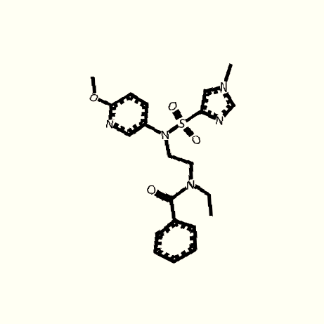 CCN(CCN(c1ccc(OC)nc1)S(=O)(=O)c1cn(C)cn1)C(=O)c1ccccc1